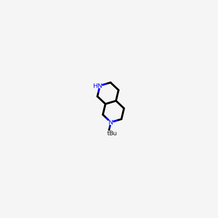 CC(C)(C)N1CCC2CCNCC2C1